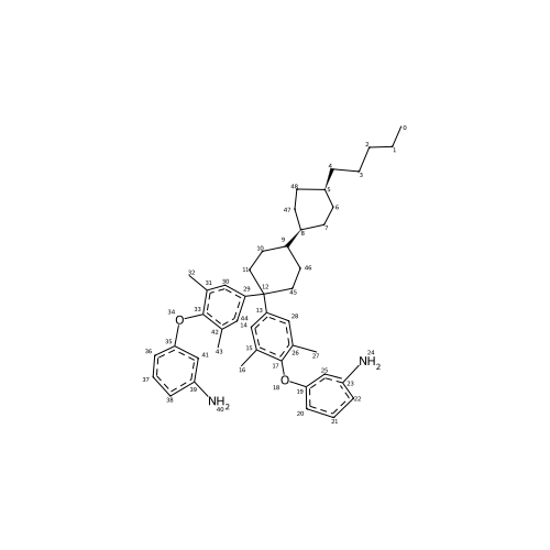 CCCCC[C@H]1CC[C@@H](C2CCC(c3cc(C)c(Oc4cccc(N)c4)c(C)c3)(c3cc(C)c(Oc4cccc(N)c4)c(C)c3)CC2)CC1